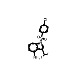 Nc1cccc2c1c(C(F)F)cn2S(=O)(=O)c1ccc(Cl)cc1